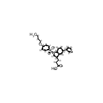 CCCCOc1ccc(S(=O)(=O)n2cc(CCC(=O)O)c3cc(-c4ccsc4)ccc32)cc1